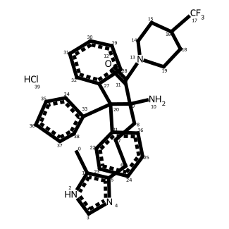 Cc1[nH]cnc1CCCC(N)(C(=O)N1CCC(C(F)(F)F)CC1)C(c1ccccc1)(c1ccccc1)c1ccccc1.Cl